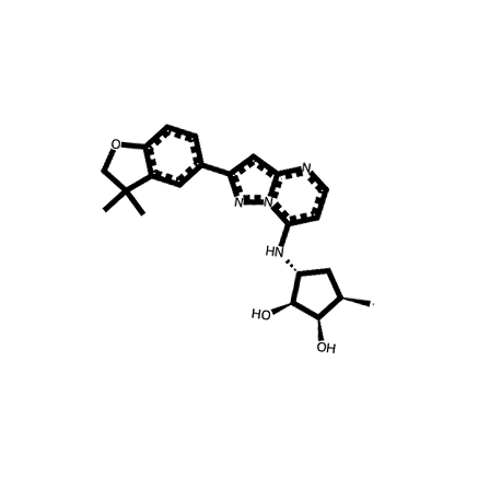 [CH2][C@@H]1C[C@@H](Nc2ccnc3cc(-c4ccc5c(c4)C(C)(C)CO5)nn23)[C@H](O)[C@@H]1O